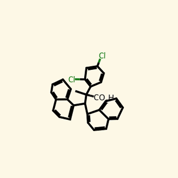 CC(C(=O)O)(c1ccc(Cl)cc1Cl)C(c1cccc2ccccc12)c1cccc2ccccc12